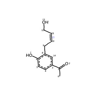 CC(=O)c1ccc(O)c(C/C=C\CO)c1